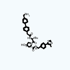 Cc1ncsc1-c1ccc(CNC(=O)[C@@H]2C[C@@H](O)CN2C(=O)[C@@H](NC(=O)Cc2ccc(-c3ccc(CN)cc3)cc2)C(C)(C)C)cc1